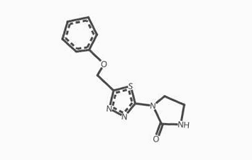 O=C1NCCN1c1nnc(COc2ccccc2)s1